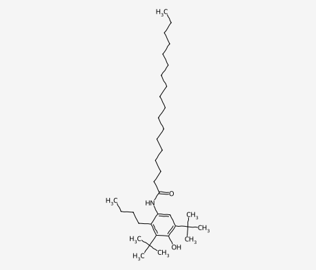 CCCCCCCCCCCCCCCCCC(=O)Nc1cc(C(C)(C)C)c(O)c(C(C)(C)C)c1CCCC